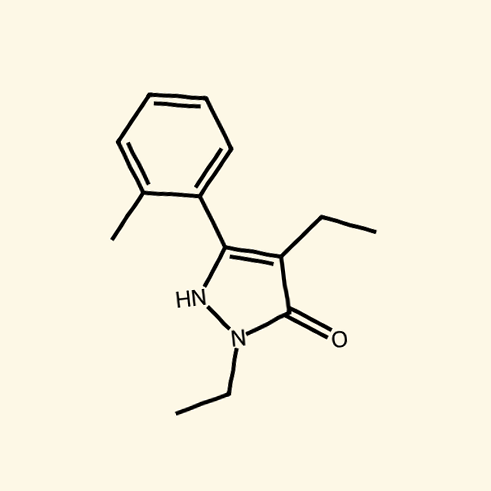 CCc1c(-c2ccccc2C)[nH]n(CC)c1=O